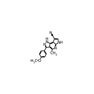 COc1ccc(-c2n[nH]c3c2c(C)nc2[nH]cc(C#N)c23)cc1